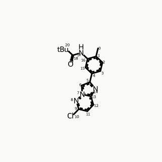 Cc1ccc(-c2cn3nc(Cl)ccc3n2)cc1NC(=O)C(C)(C)C